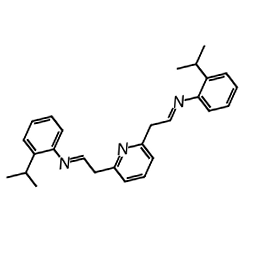 CC(C)c1ccccc1N=CCc1cccc(CC=Nc2ccccc2C(C)C)n1